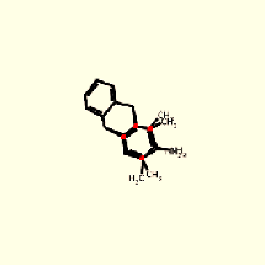 Cc1cc2c(c(C)c1N)C1c3ccccc3C2c2cc(C)c(N)c(C)c21